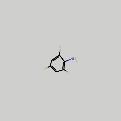 Nc1c(F)[c]c(F)cc1F